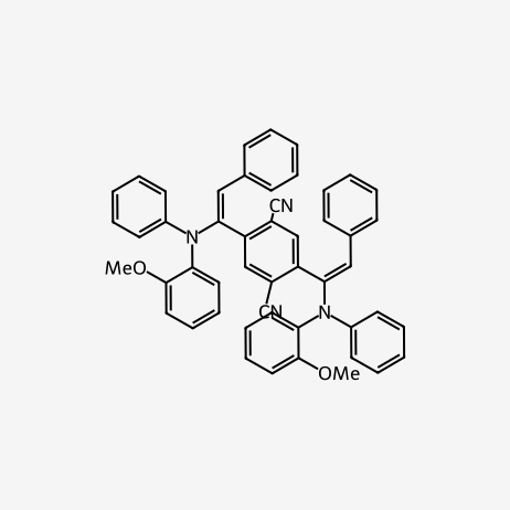 COc1ccccc1N(C(=Cc1ccccc1)c1cc(C#N)c(C(=Cc2ccccc2)N(c2ccccc2)c2ccccc2OC)cc1C#N)c1ccccc1